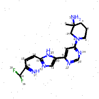 CC1(N)CCCN(c2cc(-c3cnc(/C=C\C(=N)C(F)F)[nH]3)ncn2)C1